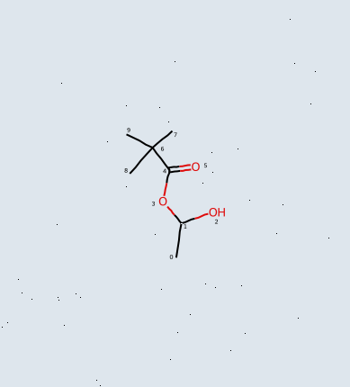 CC(O)OC(=O)C(C)(C)C